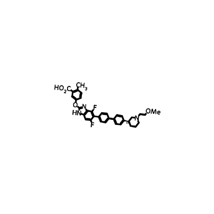 COCCN1CCC[C@@H](c2ccc(-c3ccc(-c4c(F)cc5[nH]c(Oc6ccc(C)c(C(=O)O)c6)nc5c4F)cc3)cc2)C1